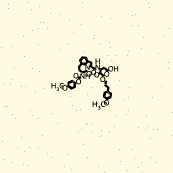 COc1ccc(CCCOCC(=O)C(CC(=O)O)NC(=O)C2Cc3cccc4c3N2C(=O)C(NC(=O)Oc2ccc(OC)cc2)CC4)cc1